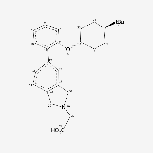 CC(C)(C)[C@H]1CC[C@H](Oc2ccccc2-c2ccc3c(c2)CN(CC(=O)O)C3)CC1